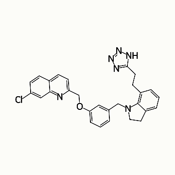 Clc1ccc2ccc(COc3cccc(CN4CCc5cccc(CCc6nnn[nH]6)c54)c3)nc2c1